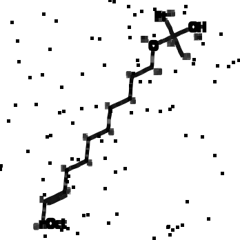 CCCCCCCCC=CCCCCCCCCOC(C)(O)CC